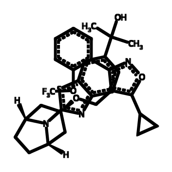 CC(C)(O)c1ccc2nc(N3[C@@H]4CC[C@H]3C[C@H](OCc3c(-c5ccccc5OC(F)(F)F)noc3C3CC3)C4)sc2c1